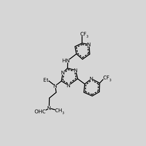 CCN(CCN(C)C=O)c1nc(Nc2ccnc(C(F)(F)F)c2)nc(-c2cccc(C(F)(F)F)n2)n1